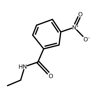 CCNC(=O)c1cccc([N+](=O)[O-])c1